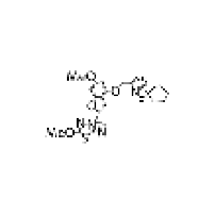 COc1cc(OCc2csc(C3(F)CCCCC3)n2)c2cc(-c3cnc4sc(OC)nn34)oc2c1